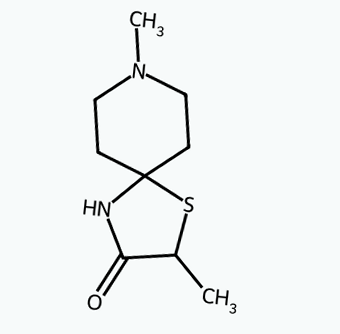 CC1SC2(CCN(C)CC2)NC1=O